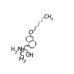 CCCCCCCOc1ccc2c(c1)C=CC=C[C@H]2C[C@](C)(N)CO